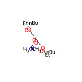 CCCCC(CC)CCC(=O)OCCCCCCC(CCCCCCOC(=O)CCC(CC)CCCC)OC(=O)CCCN(C)C